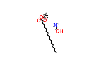 CCCCCCCCCCCCCCCCC(O[Si](C)(C)C(C)(C)C)C(=O)O.C[N+](C)(C)CCO